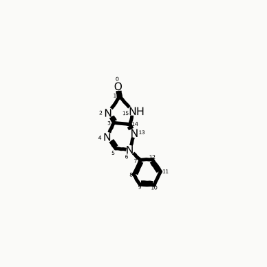 O=c1nc2ncn(-c3ccccc3)nc-2[nH]1